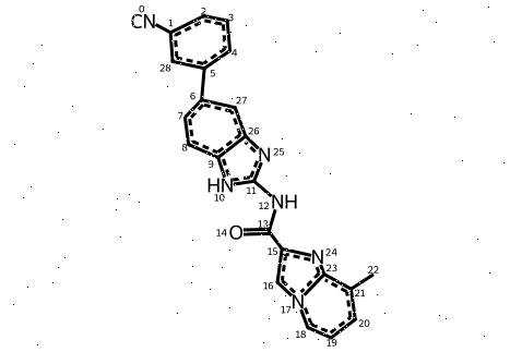 [C-]#[N+]c1cccc(-c2ccc3[nH]c(NC(=O)c4cn5cccc(C)c5n4)nc3c2)c1